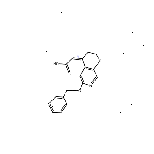 O=C(O)/C=C1/CCOc2cnc(OCc3ccccc3)cc21